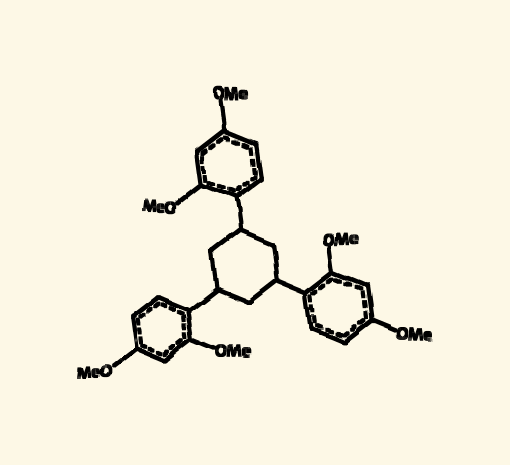 COc1ccc(C2CC(c3ccc(OC)cc3OC)CC(c3ccc(OC)cc3OC)C2)c(OC)c1